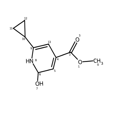 COC(=O)C1=CC(O)NC(C2CC2)=C1